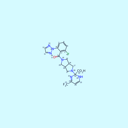 O=C(c1c(F)cccc1-n1nccn1)N1CC2CN(C3(C(=O)O)N=C(C(F)(F)F)C=CN3)CC2C1